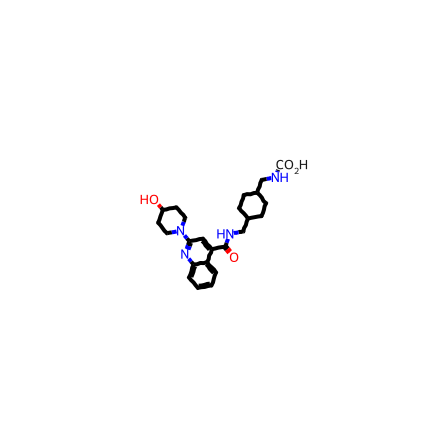 O=C(O)NCC1CCC(CNC(=O)c2cc(N3CCC(O)CC3)nc3ccccc23)CC1